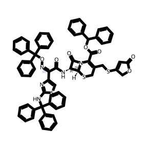 O=C1C=C(SCC2=C(C(=O)OC(c3ccccc3)c3ccccc3)N3C(=O)[C@@H](NC(=O)/C(=N\OC(c4ccccc4)(c4ccccc4)c4ccccc4)c4csc(NC(c5ccccc5)(c5ccccc5)c5ccccc5)n4)[C@@H]3SC2)CO1